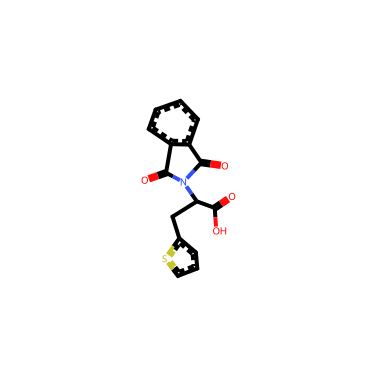 O=C(O)C(Cc1cccs1)N1C(=O)c2ccccc2C1=O